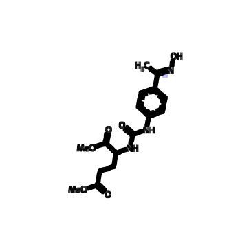 COC(=O)CCC(NC(=O)Nc1ccc(/C(C)=N/O)cc1)C(=O)OC